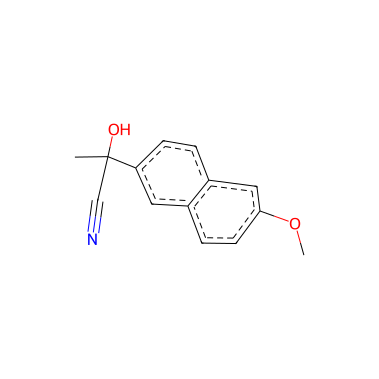 COc1ccc2cc(C(C)(O)C#N)ccc2c1